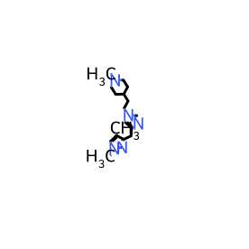 Cc1cn(C)nc1Cc1cn(CCC2CCN(C)CC2)cn1